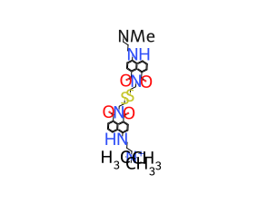 CNCCCNc1ccc2c3c(cccc13)C(=O)N(CCSSCCN1C(=O)c3cccc4c(NCCC[N+](C)(C)C)ccc(c34)C1=O)C2=O